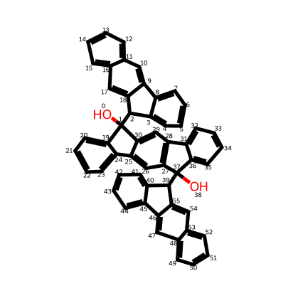 OC1(C2c3ccccc3-c3cc4ccccc4cc32)c2ccccc2-c2cc3c(cc21)-c1ccccc1C3(O)C1c2ccccc2-c2cc3ccccc3cc21